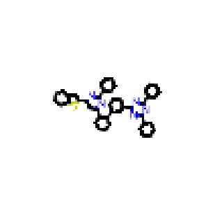 c1ccc(-c2nc(-c3cc4ccccc4s3)cc(-c3ccccc3-c3cccc(-c4nc(-c5ccccc5)nc(-c5ccccc5)n4)c3)n2)cc1